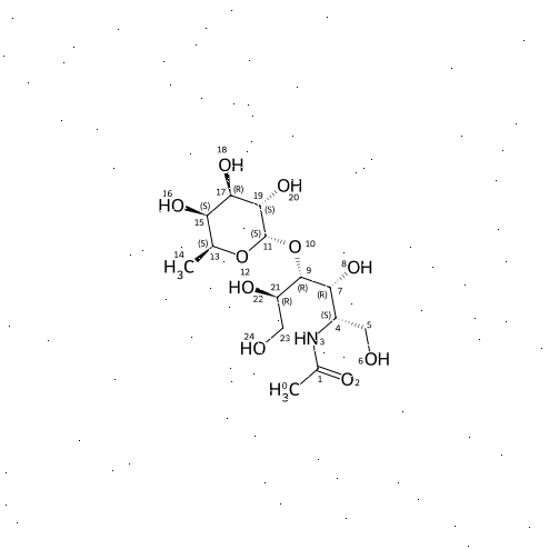 CC(=O)N[C@@H](CO)[C@@H](O)[C@@H](O[C@@H]1O[C@@H](C)[C@@H](O)[C@@H](O)[C@@H]1O)[C@H](O)CO